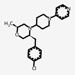 C[C@H]1CN(C2CCN(c3ccncc3)CC2)[C@@H](Cc2ccc(Cl)cc2)CO1